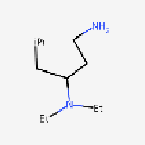 CCN(CC)C(CCN)CC(C)C